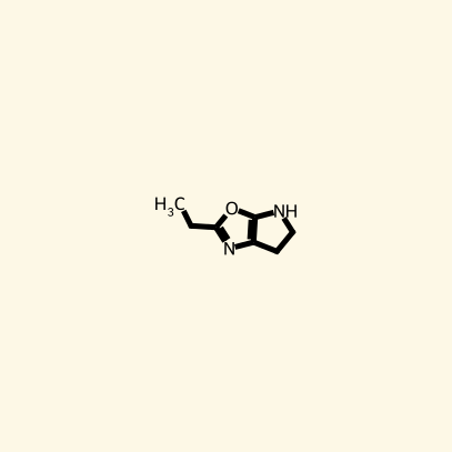 CCc1nc2c(o1)NCC2